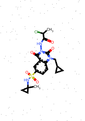 CC(Cl)C(=O)Nn1c(=O)c2cc(S(=O)(=O)NC3(C)CC3)ccc2n(CC2CC2)c1=O